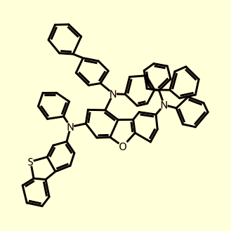 c1ccc(-c2ccc(N(c3ccc(-c4ccccc4)cc3)c3cc(N(c4ccccc4)c4ccc5c(c4)sc4ccccc45)cc4oc5ccc(N(c6ccccc6)c6ccccc6)cc5c34)cc2)cc1